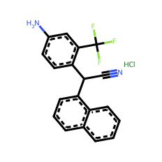 Cl.N#CC(c1ccc(N)cc1C(F)(F)F)c1cccc2ccccc12